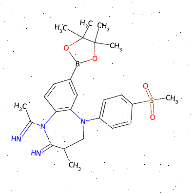 CC(=N)N1C(=N)C(C)CN(c2ccc(S(C)(=O)=O)cc2)c2cc(B3OC(C)(C)C(C)(C)O3)ccc21